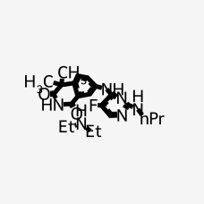 CCCNc1ncc(F)c(Nc2ccc3c(c2)C(=O)NC(=O)C3(C)C)n1.CCNCC